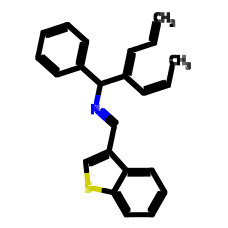 C=C/C=C(\C=C/C)C(/N=C/c1csc2ccccc12)c1ccccc1